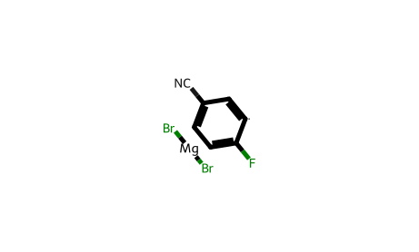 N#Cc1c[c]c(F)cc1.[Br][Mg][Br]